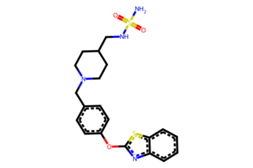 NS(=O)(=O)NCC1CCN(Cc2ccc(Oc3nc4ccccc4s3)cc2)CC1